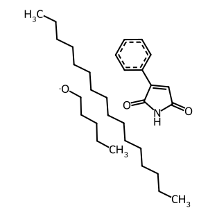 CCCCCCCCCCCCCCCC.CCCCC[O].O=C1C=C(c2ccccc2)C(=O)N1